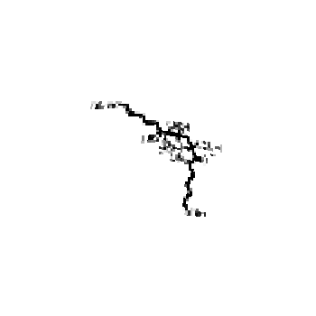 CCCCCCCCCCCCCCCC(=O)C(C)(CC(O)(OS(=O)(=O)OC)C(C)(C(=O)O)C(=O)CCCCCCCCCCCCCCC)C(=O)O